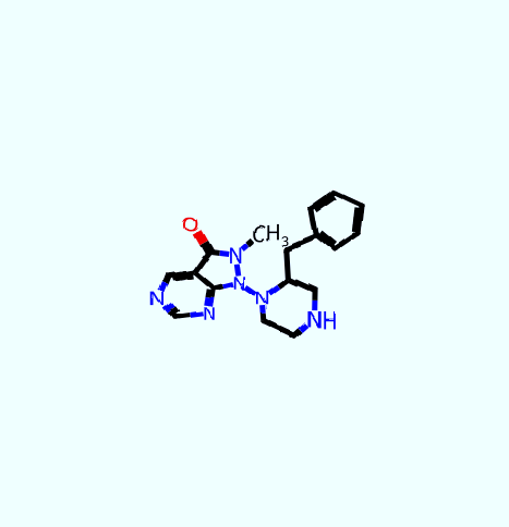 Cn1c(=O)c2cncnc2n1N1CCNCC1Cc1ccccc1